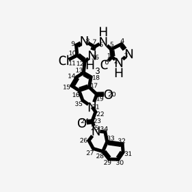 Cc1[nH]ncc1Nc1ncc(Cl)c(-c2ccc3c(c2)C(=O)N(CC(=O)N2CCc4ccccc4C2)C3)n1